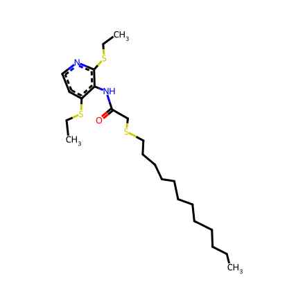 CCCCCCCCCCCCSCC(=O)Nc1c(SCC)ccnc1SCC